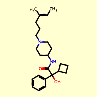 CC=C(C)CCCN1CCC(NC(=O)C(O)(c2ccccc2)C2CCC2)CC1